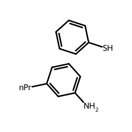 CCCc1cccc(N)c1.Sc1ccccc1